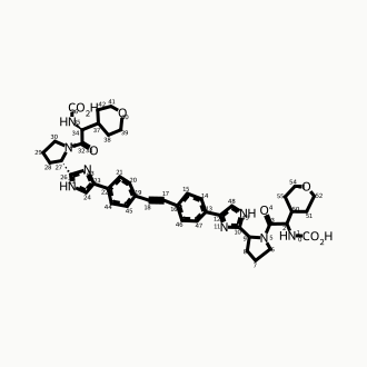 O=C(O)NC(C(=O)N1CCCC1c1nc(-c2ccc(C#Cc3ccc(-c4c[nH]c([C@@H]5CCCN5C(=O)[C@@H](NC(=O)O)C5CCOCC5)n4)cc3)cc2)c[nH]1)C1CCOCC1